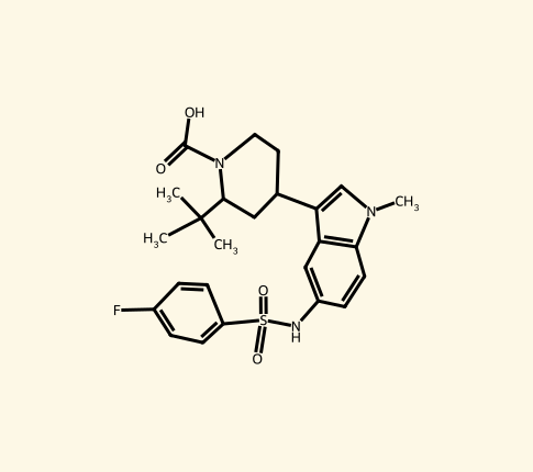 Cn1cc(C2CCN(C(=O)O)C(C(C)(C)C)C2)c2cc(NS(=O)(=O)c3ccc(F)cc3)ccc21